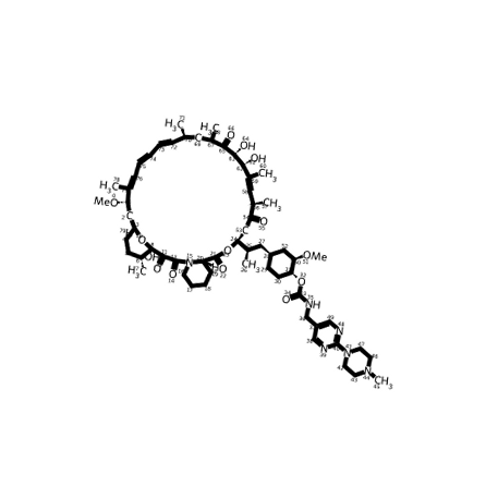 CO[C@H]1C[C@@H]2CC[C@@H](C)[C@@](O)(O2)C(=O)C(=O)N2CCCC[C@H]2C(=O)O[C@H]([C@H](C)C[C@@H]2CC[C@@H](OC(=O)NCc3cnc(N4CCN(C)CC4)nc3)[C@H](OC)C2)CC(=O)[C@H](C)/C=C(\C)[C@@H](O)[C@@H](O)C(=O)C(C)C[C@H](C)/C=C/C=C/C=C/1C